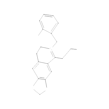 CCCC1=[N+](Cc2ccccc2F)CCc2cc3c(cc21)OCO3.[Cl-]